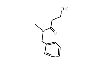 CN(Cc1ccccc1)C(=O)CCC=O